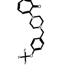 O=c1cccccc1N1CCN(Cc2ccc(OC(F)(F)F)cc2)CC1